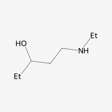 CCNCCC(O)CC